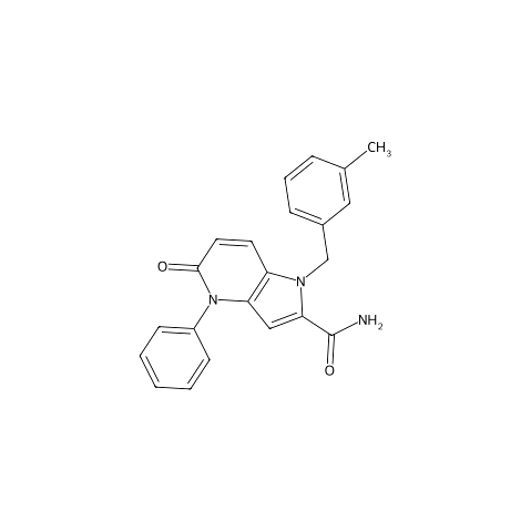 Cc1cccc(Cn2c(C(N)=O)cc3c2ccc(=O)n3-c2ccccc2)c1